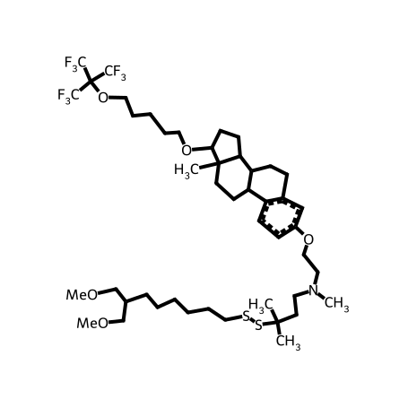 COCC(CCCCCCSSC(C)(C)CCN(C)CCOc1ccc2c(c1)CCC1C2CCC2(C)C(OCCCCCOC(C(F)(F)F)(C(F)(F)F)C(F)(F)F)CCC12)COC